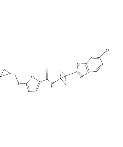 O=C(NC12CC1(c1nc3ccc(Cl)cc3o1)C2)c1ccc(SCC2CC2)o1